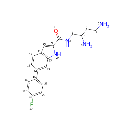 NCCC(N)CNC(=O)c1cc2ccc(-c3ccc(F)cc3)cc2[nH]1